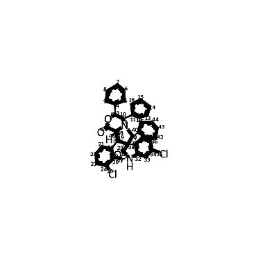 O=C1O[C@@H](c2ccccc2)[C@@H](c2ccccc2)N2[C@@H]1[C@H](c1cccc(Cl)c1F)[C@@]1(C(=O)Nc3cc(Cl)ccc31)[C@H]2c1ccccc1